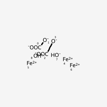 O=C([O-])[O-].O=C([O-])[O-].[Fe+2].[Fe+2].[Fe+2].[OH-].[OH-]